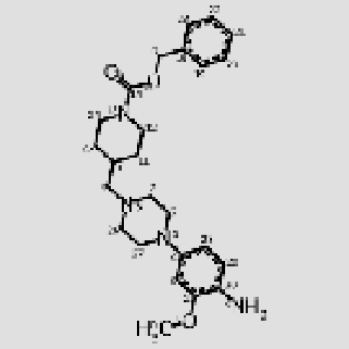 COc1cc(N2CCN(CC3CCN(C(=O)OCc4ccccc4)CC3)CC2)ccc1N